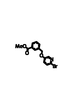 COC(=O)c1cccc(COc2ccc(Br)nc2)c1